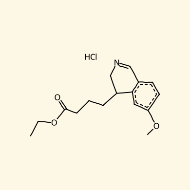 CCOC(=O)CCCC1CN=Cc2ccc(OC)cc21.Cl